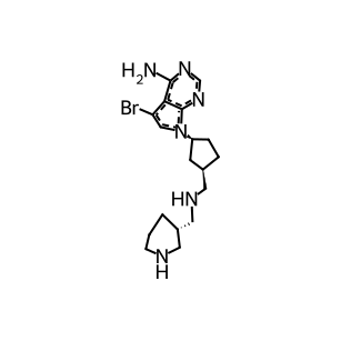 Nc1ncnc2c1c(Br)cn2[C@H]1CC[C@@H](CNC[C@H]2CCCNC2)C1